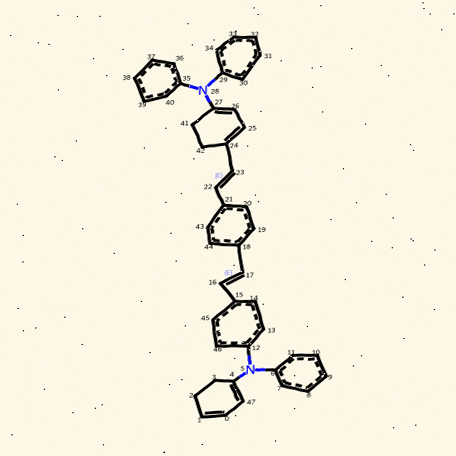 C1=CCCC(N(c2ccccc2)c2ccc(/C=C/c3ccc(/C=C/C4=CC=C(N(c5ccccc5)c5ccccc5)CC4)cc3)cc2)=C1